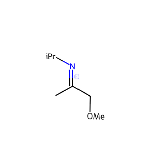 COC/C(C)=N/C(C)C